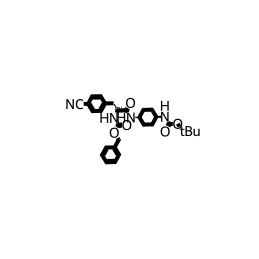 CC(C)(C)OC(=O)N[C@H]1CC[C@H](NC(=O)[C@@H](Cc2ccc(C#N)cc2)NC(=O)OCc2ccccc2)CC1